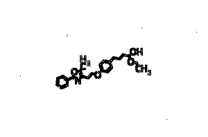 CCOC(O)CCCc1ccc(OCCc2nc(-c3ccccc3)oc2C)cc1